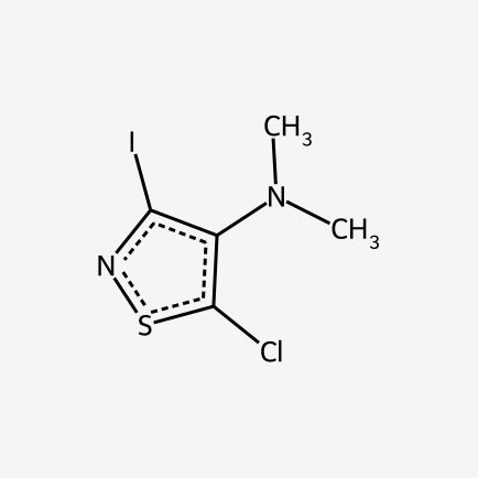 CN(C)c1c(I)nsc1Cl